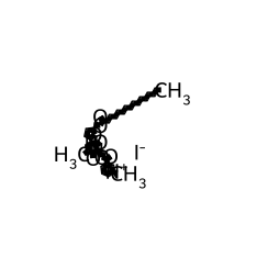 CCCCCCCCCCCCCCCC(=O)OC[C@@H]1CC[C@H](n2cc(C)c(=O)n(COC(=O)c3ccc[n+](C)c3)c2=O)O1.[I-]